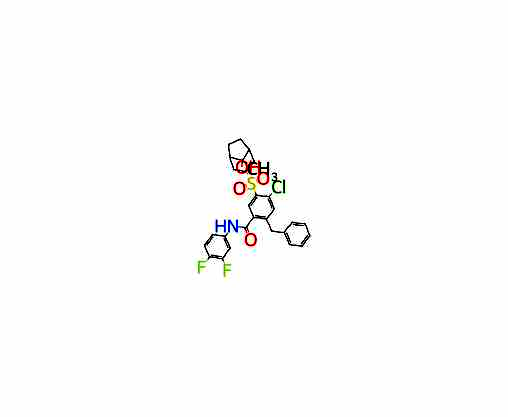 C[C@]1(O)C2CCC1C[C@@H](S(=O)(=O)c1cc(C(=O)Nc3ccc(F)c(F)c3)c(Cc3ccccc3)cc1Cl)C2